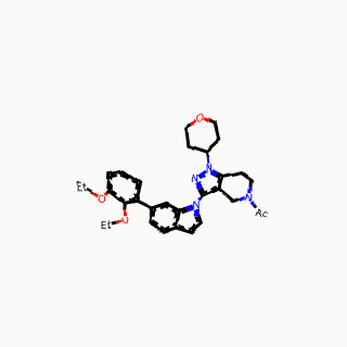 CCOc1cccc(-c2ccc3ccn(-c4nn(C5CCOCC5)c5c4CN(C(C)=O)CC5)c3c2)c1OCC